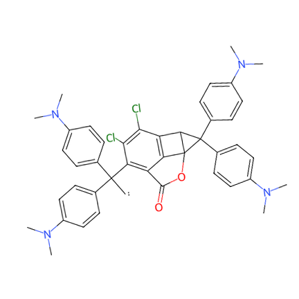 [CH]C(c1ccc(N(C)C)cc1)(c1ccc(N(C)C)cc1)c1c(Cl)c(Cl)c2c3c1C(=O)OC31C2C1(c1ccc(N(C)C)cc1)c1ccc(N(C)C)cc1